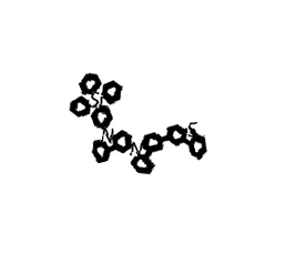 c1ccc([Si](c2ccccc2)(c2ccccc2)c2ccc(-n3c4ccccc4c4cc(-n5c6ccccc6c6cc(-c7ccc8sc9ccccc9c8c7)ccc65)ccc43)cc2)cc1